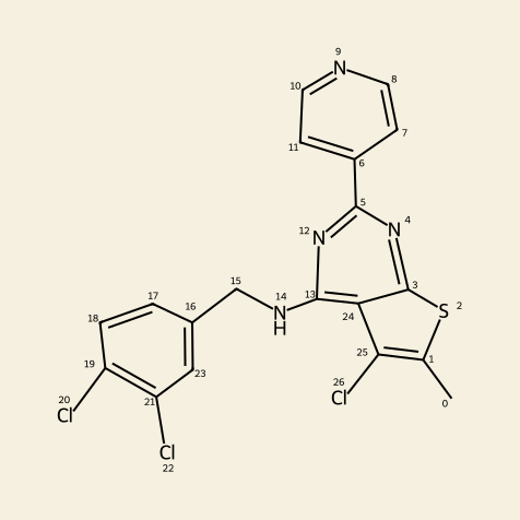 Cc1sc2nc(-c3ccncc3)nc(NCc3ccc(Cl)c(Cl)c3)c2c1Cl